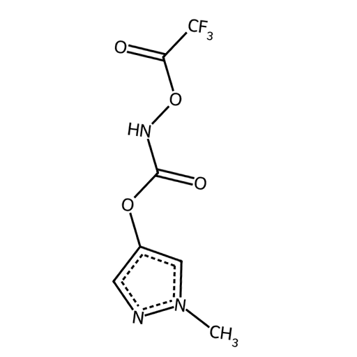 Cn1cc(OC(=O)NOC(=O)C(F)(F)F)cn1